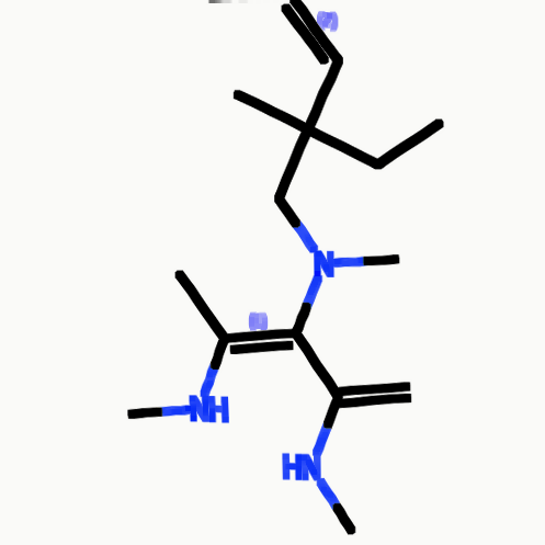 C=C(NC)/C(=C(/C)NC)N(C)CC(C)(/C=C\C)CC